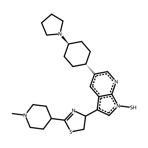 CN1CCC(C2=NC(c3cn(S)c4ncc([C@H]5CC[C@H](N6CCCC6)CC5)cc34)CS2)CC1